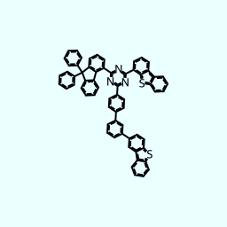 c1ccc(C2(c3ccccc3)c3ccccc3-c3c(-c4nc(-c5ccc(-c6cccc(-c7ccc8sc9ccccc9c8c7)c6)cc5)nc(-c5cccc6c5sc5ccccc56)n4)cccc32)cc1